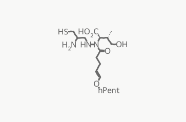 CCCCCOC=CCCC(=O)N(NCC(N)CS)[C@@H](C(=O)O)[C@H](C)CO